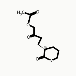 CC(=O)OCC(=O)CC[C@@H]1CCCNC1=O